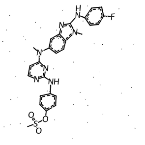 CN(c1ccc2c(c1)nc(Nc1ccc(F)cc1)n2C)c1ccnc(Nc2ccc(OS(C)(=O)=O)cc2)n1